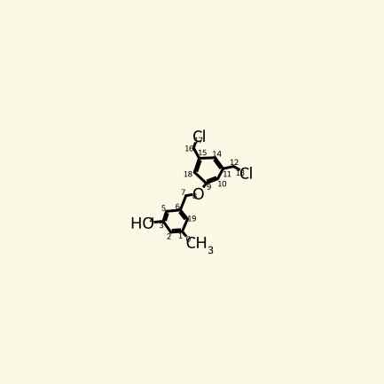 Cc1cc(O)cc(COc2cc(CCl)cc(CCl)c2)c1